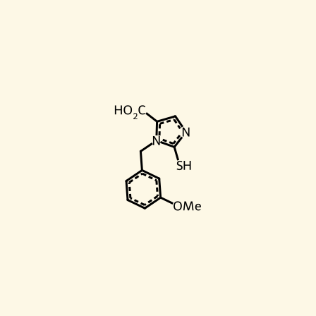 COc1cccc(Cn2c(C(=O)O)cnc2S)c1